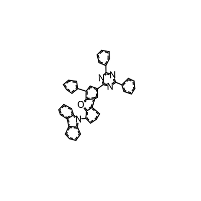 c1ccc(-c2nc(-c3ccccc3)nc(-c3cc(-c4ccccc4)c4oc5c(-n6c7ccccc7c7ccccc76)cccc5c4c3)n2)cc1